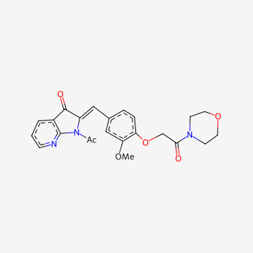 COc1cc(C=C2C(=O)c3cccnc3N2C(C)=O)ccc1OCC(=O)N1CCOCC1